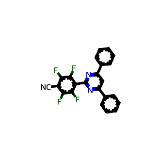 N#Cc1c(F)c(F)c(-c2nc(-c3ccccc3)cc(-c3ccccc3)n2)c(F)c1F